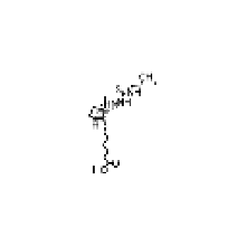 CCCNC(=S)NNC[C@@H]1[C@@H](CCCCCCC(=O)O)[C@@H]2CC[C@H]1O2